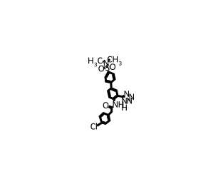 CN(C)S(=O)(=O)c1ccc(-c2ccc(NC(=O)Cc3ccc(Cl)cc3)c(-c3nnn[nH]3)c2)cc1